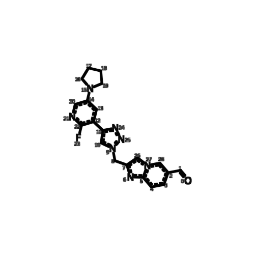 O=Cc1ccc2nc(Cn3cc(-c4cc(N5CCCC5)cnc4F)nn3)cn2c1